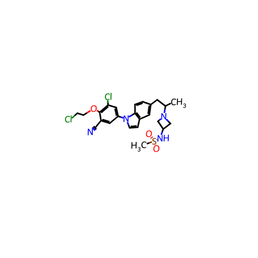 CC(Cc1ccc2c(ccn2-c2cc(Cl)c(OCCCl)c(C#N)c2)c1)N1CC(NS(C)(=O)=O)C1